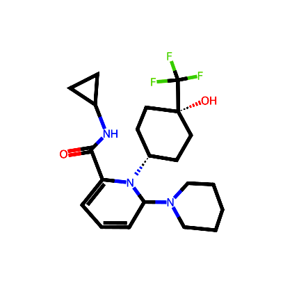 O=C(NC1CC1)C1=CC=CC(N2CCCCC2)N1[C@H]1CC[C@](O)(C(F)(F)F)CC1